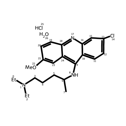 CCN(CC)CCCC(C)Nc1c2ccc(Cl)cc2nc2ccc(OC)cc12.Cl.O